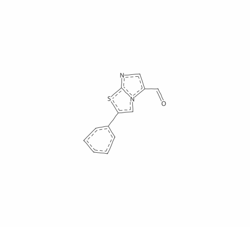 O=Cc1cnc2sc(-c3ccccc3)cn12